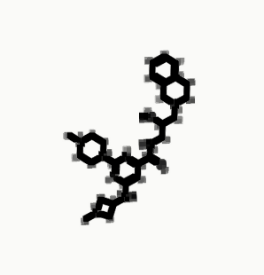 CN1CCN(c2nc(NC3CN(C)C3)cc(C(=O)NCC(O)CN3CCc4ccccc4C3)n2)CC1